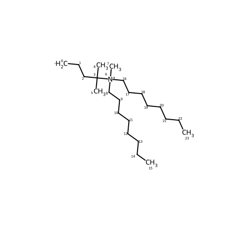 [CH2]CCC(C)(C)[N+](C)(CCCCCCCC)CCCCCCCC